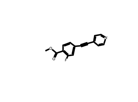 COC(=O)c1ccc(C#Cc2ccncc2)cc1F